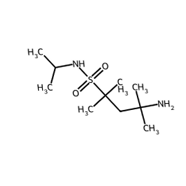 CC(C)NS(=O)(=O)C(C)(C)CC(C)(C)N